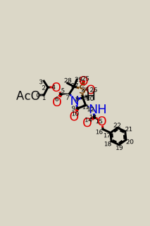 CC(=O)OCC(C)OC(=O)[C@@H]1N2C(=O)[C@@H](NC(=O)OCc3ccccc3)[C@H]2S(=O)(=O)C1(C)C